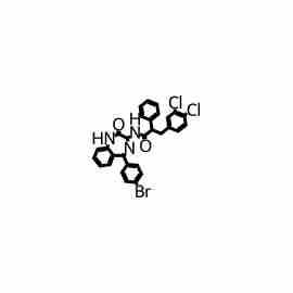 O=C1Nc2ccccc2C(c2ccc(Br)cc2)=NC1NC(=O)C(Cc1ccc(Cl)c(Cl)c1)c1ccccc1